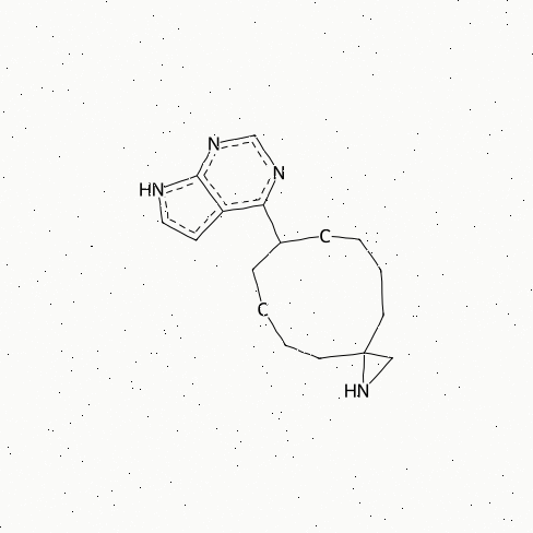 c1nc(C2CCCCC3(CCCC2)CN3)c2cc[nH]c2n1